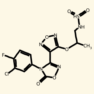 CC(CN[SH](=O)=O)Oc1nonc1-c1noc(=O)n1-c1ccc(F)c(Cl)c1